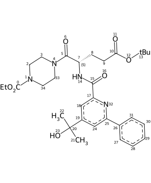 CCOC(=O)N1CCN(C(=O)[C@H](CCC(=O)OC(C)(C)C)NC(=O)c2cc(C(C)(C)O)cc(-c3ccccc3)n2)CC1